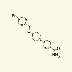 NC(=O)c1ccc(N2CCC(OCc3ccc(Br)cc3)CC2)cc1